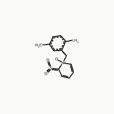 Cc1ccc(C)c(C[N+]2([O-])C=CC=CC2=S(=O)=O)c1